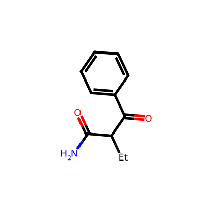 CCC(C(N)=O)C(=O)c1ccccc1